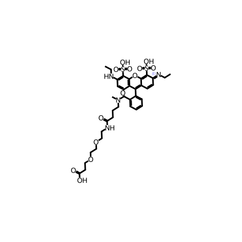 CC/N=c1\ccc2c(-c3ccccc3C(=O)N(C)CCCC(=O)NCCOCCOCCC(=O)O)c3ccc(NCC)c(S(=O)(=O)O)c3oc-2c1S(=O)(=O)O